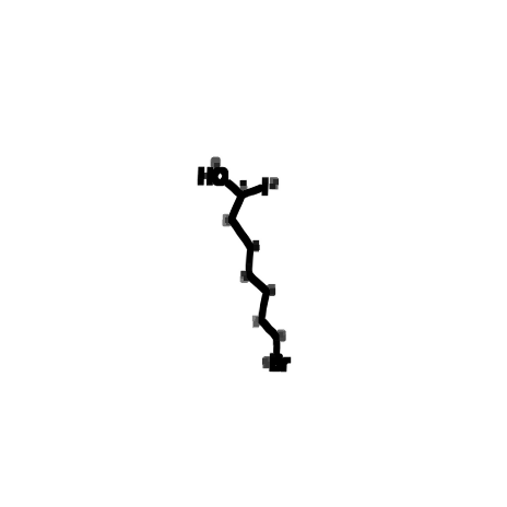 OC(I)CCCCCCBr